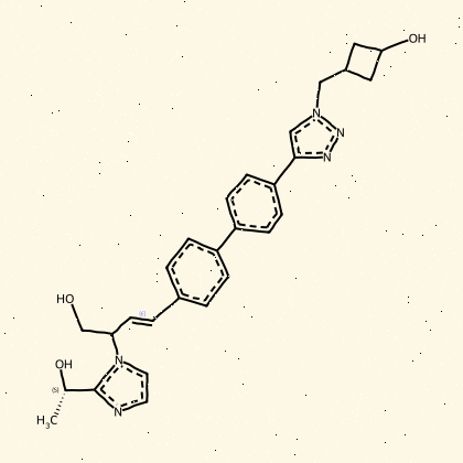 C[C@H](O)c1nccn1C(/C=C/c1ccc(-c2ccc(-c3cn(CC4CC(O)C4)nn3)cc2)cc1)CO